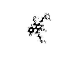 CCOC(=O)C1=C(N=CCN(C)C)NC(C)=C(C(=O)OCCOC)C1c1cccc(Cl)c1